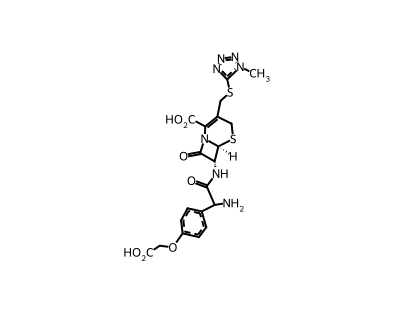 Cn1nnnc1SCC1=C(C(=O)O)N2C(=O)[C@@H](NC(=O)C(N)c3ccc(OCC(=O)O)cc3)[C@@H]2SC1